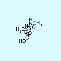 CC(=O)Nc1nc(C)c(S(=O)(=O)N2CCC(O)C2)s1